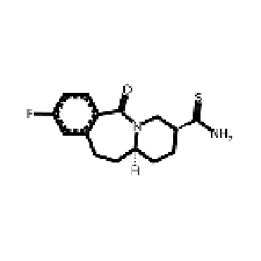 NC(=S)[C@H]1CC[C@H]2CCc3cc(F)ccc3C(=O)N2C1